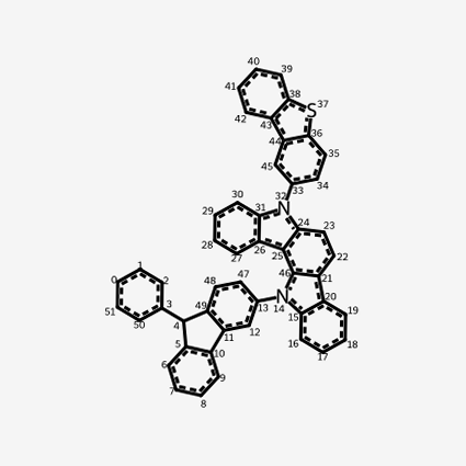 c1ccc(C2c3ccccc3-c3cc(-n4c5ccccc5c5ccc6c(c7ccccc7n6-c6ccc7sc8ccccc8c7c6)c54)ccc32)cc1